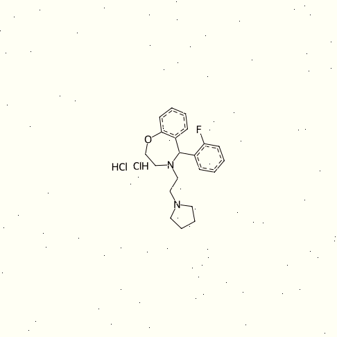 Cl.Cl.Fc1ccccc1C1c2ccccc2OCCN1CCN1CCCC1